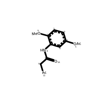 COc1ccc(OC(C)=O)cc1NC(=O)CC(C)=O